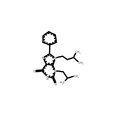 CC(C)CCn1c(-c2ccccc2)nc2c(=O)[nH]c(=O)n(CC(C)C)c21